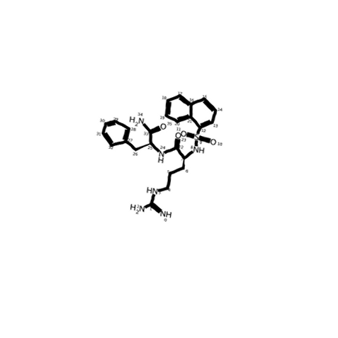 N=C(N)NCCC[C@H](NS(=O)(=O)c1cccc2ccccc12)C(=O)N[C@@H](Cc1ccccc1)C(N)=O